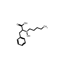 CCCCCN(O)C(Cc1ccccc1)C(=O)O